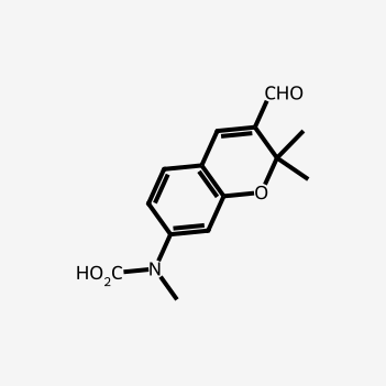 CN(C(=O)O)c1ccc2c(c1)OC(C)(C)C(C=O)=C2